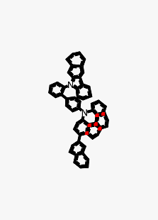 c1ccc(-c2ccccc2N(c2ccc(-c3ccccc3-n3c4ccccc4c4cc5ccccc5cc43)cc2)c2ccc(-c3ccc4ccccc4c3)cc2-c2ccccc2)cc1